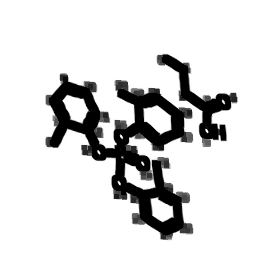 CCCC(=O)O.Cc1ccccc1OP(=O)(Oc1ccccc1C)Oc1ccccc1C